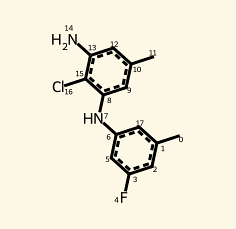 Cc1cc(F)cc(Nc2cc(C)cc(N)c2Cl)c1